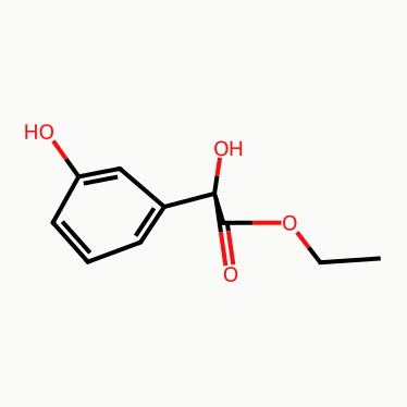 CCOC(=O)C(O)c1cccc(O)c1